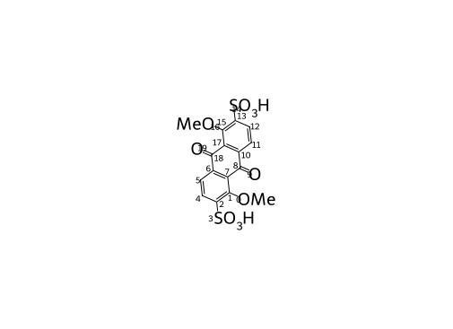 COc1c(S(=O)(=O)O)ccc2c1C(=O)c1ccc(S(=O)(=O)O)c(OC)c1C2=O